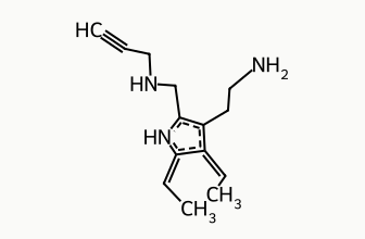 C#CCNCc1[nH]c(=C/C)/c(=C\C)c1CCN